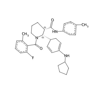 Cc1ccc(NC(=O)[C@H]2CCCN(C(=O)c3c(C)cccc3F)[C@H]2C2C=CC(NC3CCCC3)=CC2)cc1